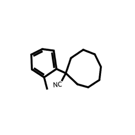 Cc1ccccc1C1(C#N)CCCCCCC1